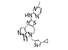 Cc1ccnc(Nc2nc3c(s2)CCN(Cc2cc(C4CC4)cn2C)c2[nH]ncc2-3)n1